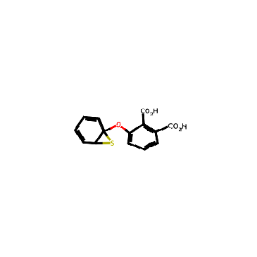 O=C(O)c1cccc(OC23C=CC=CC2S3)c1C(=O)O